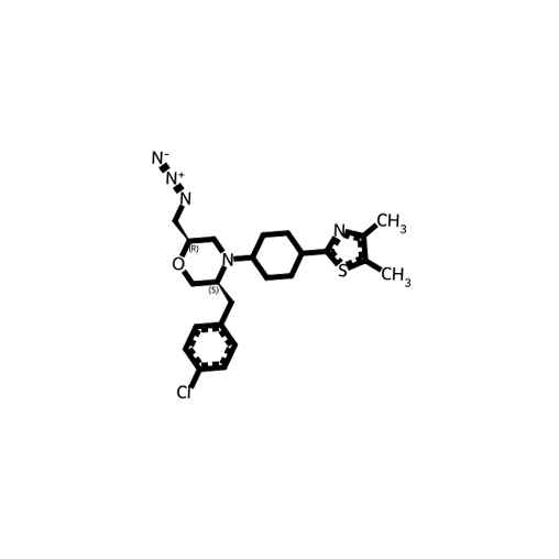 Cc1nc(C2CCC(N3C[C@H](CN=[N+]=[N-])OC[C@@H]3Cc3ccc(Cl)cc3)CC2)sc1C